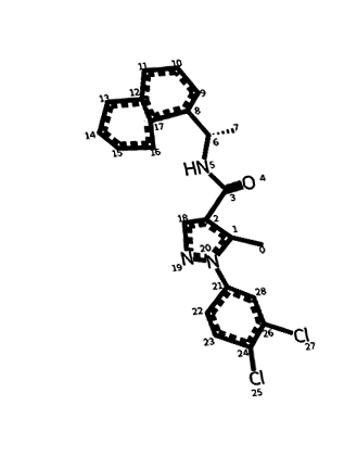 Cc1c(C(=O)N[C@@H](C)c2cccc3ccccc23)cnn1-c1ccc(Cl)c(Cl)c1